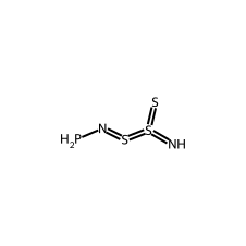 N=S(=S)=S=NP